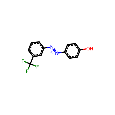 Oc1ccc(/N=N/c2cccc(C(F)(F)F)c2)cc1